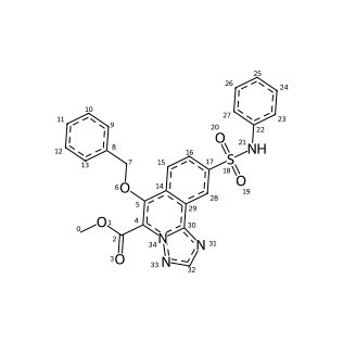 COC(=O)c1c(OCc2ccccc2)c2ccc(S(=O)(=O)Nc3ccccc3)cc2c2ncnn12